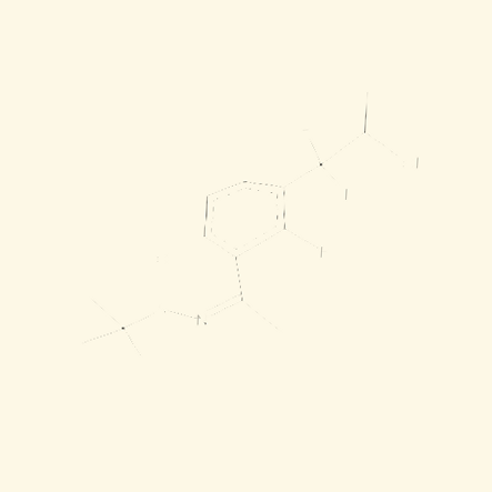 C/C(=N/[S@@+]([O-])C(C)(C)C)c1cccc(C(F)(F)C(C)O)c1F